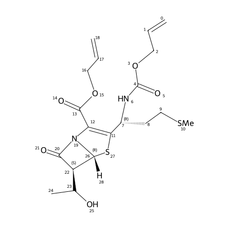 C=CCOC(=O)N[C@H](CCSC)C1=C(C(=O)OCC=C)N2C(=O)[C@H](C(C)O)[C@H]2S1